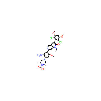 CCn1c(=O)c(-c2c(Cl)c(OC)cc(OC)c2Cl)cc2cnc(-c3cc(N)c(N4C[C@@H](C)N(C(=O)O)[C@@H](C)C4)cc3OC)cc21